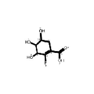 O=C(O)C1=C(F)C(O)C(O)C(O)C1